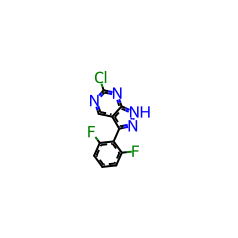 Fc1cccc(F)c1-c1n[nH]c2nc(Cl)ncc12